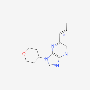 C/C=C/c1cnc2ncn(C3CCOCC3)c2n1